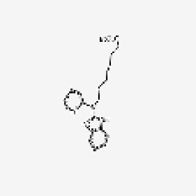 CCOC(=O)CCCCCCCN(c1ccccn1)c1nc2ccccc2[nH]1